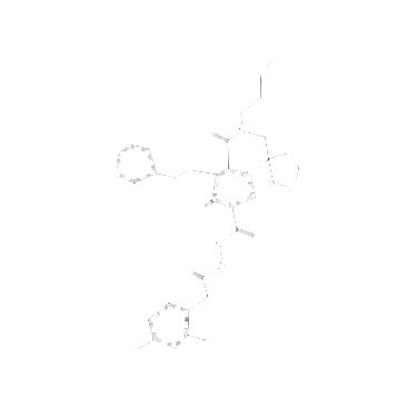 COCCN1CC2(CCOC2)n2cc(C(=O)NNC(=O)Cc3ccc(F)cc3F)c(=O)c(OCc3ccccc3)c2C1=O